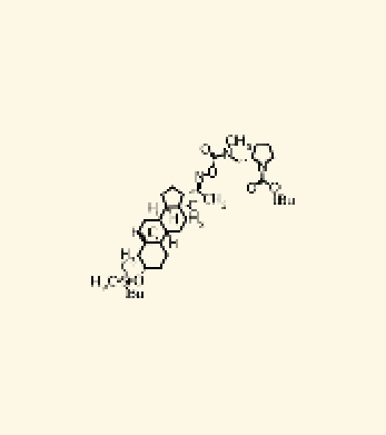 C/C(=N\OC(=O)N(C)C[C@@H]1CCCN1C(=O)OC(C)(C)C)[C@H]1CC[C@H]2[C@@H]3CC=C4C[C@@H](O[Si](C)(C)C(C)(C)C)CC[C@]4(C)[C@H]3CC[C@]12C